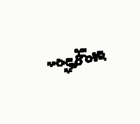 CC(Cc1ccc2c(c1)cc(C(=O)O)n2Cc1cccc(S(=O)(=O)N(C)C)c1)NCC(O)N1C=NC(N)=CC1